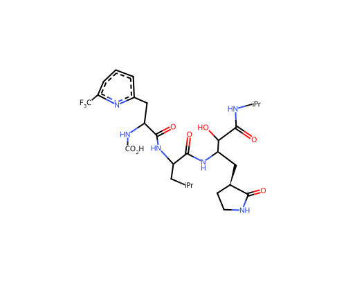 CC(C)CC(NC(=O)C(Cc1cccc(C(F)(F)F)n1)NC(=O)O)C(=O)NC(C[C@@H]1CCNC1=O)C(O)C(=O)NC(C)C